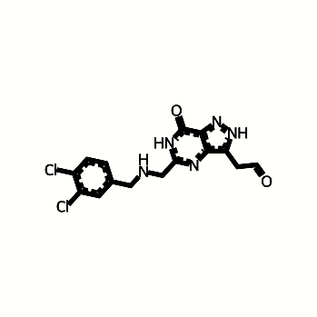 O=CCc1[nH]nc2c(=O)[nH]c(CNCc3ccc(Cl)c(Cl)c3)nc12